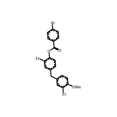 CCc1cc(Cc2ccc(OC(=O)c3ccc(C(C)=O)cc3)c(CC)c2)ccc1OC